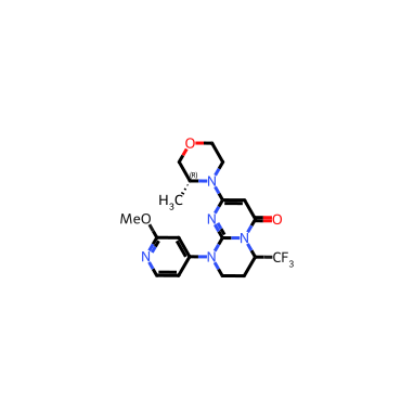 COc1cc(N2CCC(C(F)(F)F)n3c2nc(N2CCOC[C@H]2C)cc3=O)ccn1